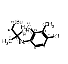 Cc1c(Cl)ccc(NC(C)(C)CC(C)(C)C)c1C